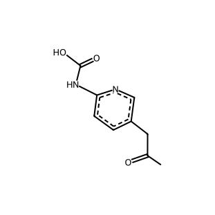 CC(=O)Cc1ccc(NC(=O)O)nc1